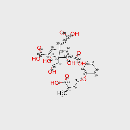 C=C(CCOc1ccccc1)C(=O)O.O=C(O)C=CC(C=CC(=O)O)(C=CC(=O)O)C(CO)(CO)CCO